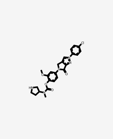 COc1cc(N2Cc3cn(-c4ccc(Cl)cc4)nc3C2=O)ccc1OC(=O)N(C)C1CCNC1